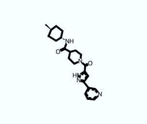 C[C@H]1CC[C@H](NC(=O)C2CCN(C(=O)c3cc(-c4cccnc4)n[nH]3)CC2)CC1